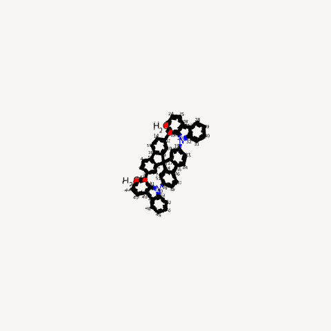 C=Cc1ccc2c(c1)C1(c3cc(C=C)ccc3-2)c2cc(-n3c4ccccc4c4ccccc43)ccc2-c2ccc(-n3c4ccccc4c4ccccc43)cc21